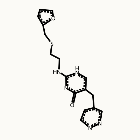 O=c1nc(NCCSCc2ccco2)[nH]cc1Cc1ccnnc1